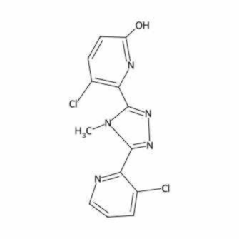 Cn1c(-c2ncccc2Cl)nnc1-c1nc(O)ccc1Cl